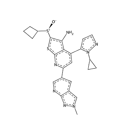 Cn1cc2cc(-c3cc(-c4ccnn4C4CC4)c4c(N)c([S@+]([O-])C5CCC5)sc4n3)cnc2n1